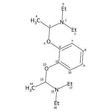 CCN(CC)C(C)Oc1ccccc1OC(C)N(CC)CC